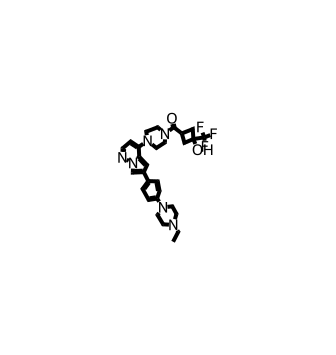 CCN1CCN(c2ccc(-c3cc4c(N5CCN(C(=O)C6CC(O)(C(F)(F)F)C6)CC5)ccnn4c3)cc2)CC1